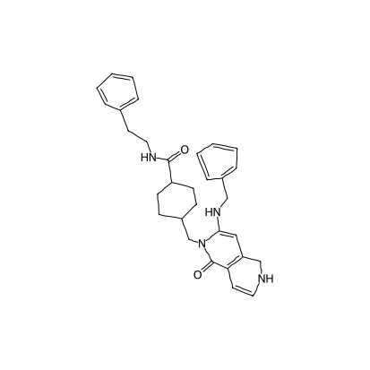 O=C(NCCc1ccccc1)C1CCC(Cn2c(NCc3ccccc3)cc3c(c2=O)C=CNC3)CC1